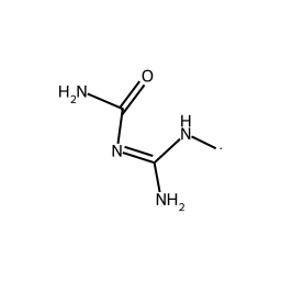 [CH2]N/C(N)=N\C(N)=O